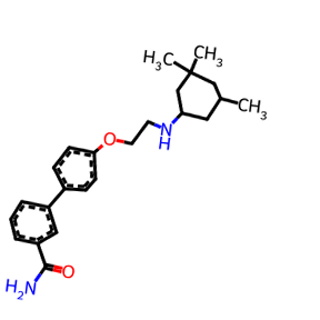 CC1CC(NCCOc2ccc(-c3cccc(C(N)=O)c3)cc2)CC(C)(C)C1